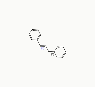 C1=CC[C@@H](C/C=C/c2ccccc2)C=C1